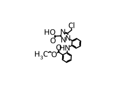 CCOC(=O)c1ccccc1Nc1ccccc1-n1nc(C(=O)O)nc1CCl